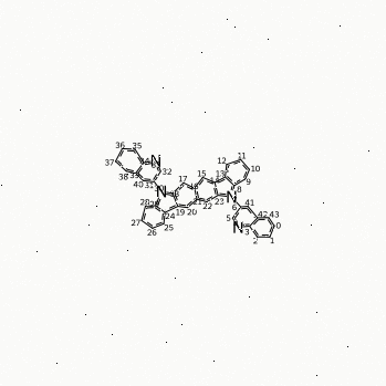 c1ccc2ncc(-n3c4ccccc4c4cc5cc6c(cc5cc43)c3ccccc3n6-c3cnc4ccccc4c3)cc2c1